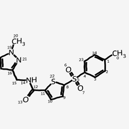 Cc1ccc(S(=O)(=O)c2ccc(C(=O)NCc3ccn(C)n3)s2)cc1